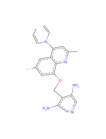 C=CN(/C=C\C)c1cc(C)nc2c(OCc3c(N)cncc3N)cc(F)cc12